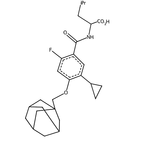 CC(C)CC(NC(=O)c1cc(C2CC2)c(OCC23CC4CC(CC(C4)C2)C3)cc1F)C(=O)O